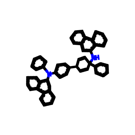 C1=CC(Nc2cc3ccccc3c3ccccc23)(c2ccccc2)C=CC1c1ccc(N(c2ccccc2)c2cc3ccccc3c3ccccc23)cc1